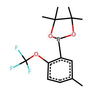 Cc1ccc(OC(F)(F)F)c(B2OC(C)(C)C(C)(C)O2)c1